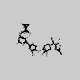 Cc1n[nH]c(C(=O)N2CC[C@H](Oc3ccc(-c4cc(NC(=O)C5CC5)ncn4)cc3C#N)C(F)(F)C2)n1